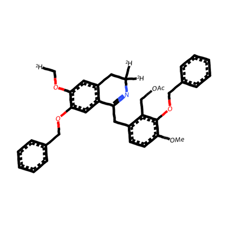 [2H]COc1cc2c(cc1OCc1ccccc1)C(Cc1ccc(OC)c(OCc3ccccc3)c1COC(C)=O)=NC([2H])([2H])C2